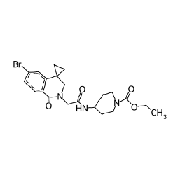 CCOC(=O)N1CCC(NC(=O)CN2CC3(CC3)c3cc(Br)ccc3C2=O)CC1